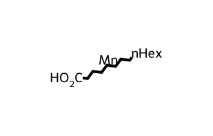 CCCCCCCCCCCCCC(=O)O.[Mn]